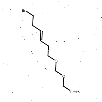 CCCCCCCOCOCCC=CCCBr